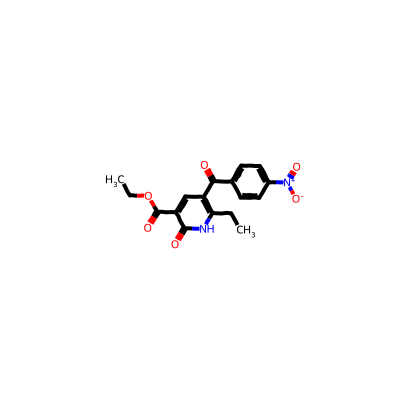 CCOC(=O)c1cc(C(=O)c2ccc([N+](=O)[O-])cc2)c(CC)[nH]c1=O